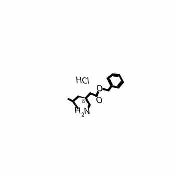 CC(C)C[C@H](CN)CC(=O)OCc1ccccc1.Cl